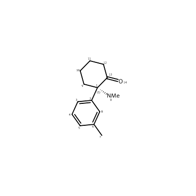 CN[C@]1(c2cccc(C)c2)CCCCC1=O